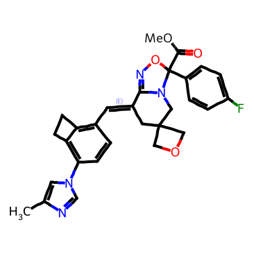 COC(=O)C1(c2ccc(F)cc2)ON=C2/C(=C/c3ccc(-n4cnc(C)c4)c4c3CC4)CC3(COC3)CN21